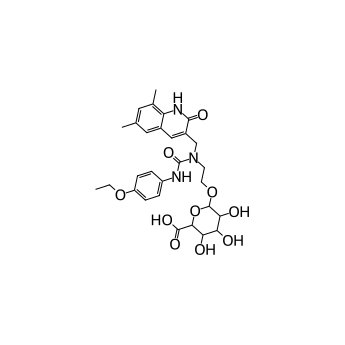 CCOc1ccc(NC(=O)N(CCOC2OC(C(=O)O)C(O)C(O)C2O)Cc2cc3cc(C)cc(C)c3[nH]c2=O)cc1